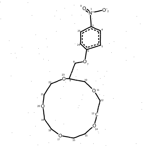 O=[N+]([O-])c1ccc(OCC2COCCOCCOCCOCCO2)cc1